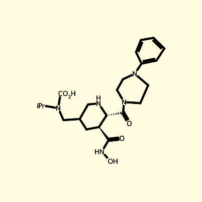 CC(C)N(CC1CN[C@H](C(=O)N2CCN(c3ccccc3)CC2)[C@@H](C(=O)NO)C1)C(=O)O